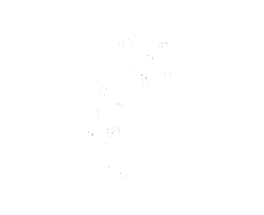 CC(C)N1C(=O)N/C(=C\c2ccc(Sc3nc4ccc(Cl)cc4[nH]3)o2)C1O